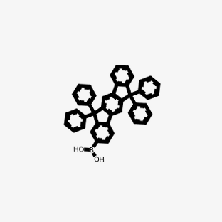 OB(O)c1ccc2c(c1)C(c1ccccc1)(c1ccccc1)c1cc3c(cc1-2)C(c1ccccc1)(c1ccccc1)c1ccccc1-3